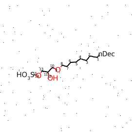 CCCCCCCCCCCCCCCCCCOCC(O)COS(=O)(=O)O